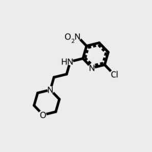 O=[N+]([O-])c1ccc(Cl)nc1NCCN1CCOCC1